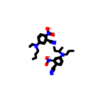 CCCCN(CC)c1ccc([N+](=O)[O-])c(C#N)c1.CCCN(c1ccc(C#N)c([N+](=O)[O-])c1)C(C)CC